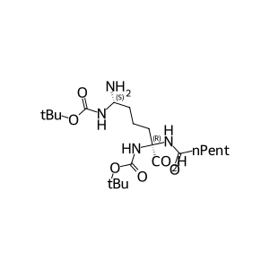 CCCCCC(=O)N[C@](CCC[C@@H](N)NC(=O)OC(C)(C)C)(NC(=O)OC(C)(C)C)C(=O)O